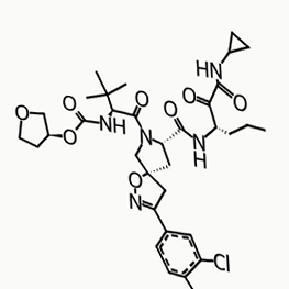 CCC[C@H](NC(=O)[C@@H]1C[C@@]2(CC(c3ccc(OC)c(Cl)c3)=NO2)CN1C(=O)[C@@H](NC(=O)O[C@H]1CCOC1)C(C)(C)C)C(=O)C(=O)NC1CC1